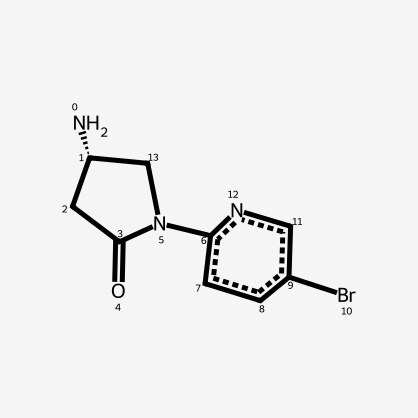 N[C@H]1CC(=O)N(c2ccc(Br)cn2)C1